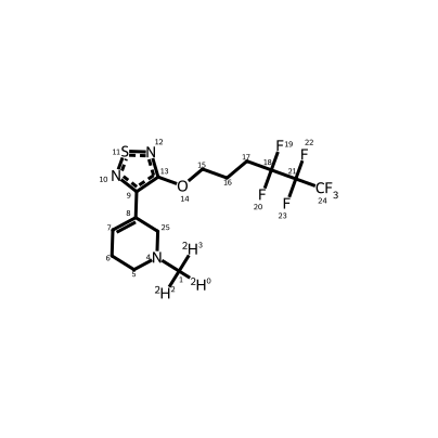 [2H]C([2H])([2H])N1CCC=C(c2nsnc2OCCCC(F)(F)C(F)(F)C(F)(F)F)C1